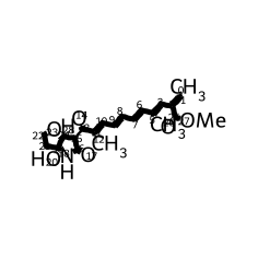 C\C=C(/C=C(C)/C=C/C=C/C=C(\C)C(=O)[C@H]1C(=O)N[C@]2(O)CCO[C@H]12)C(=O)OC